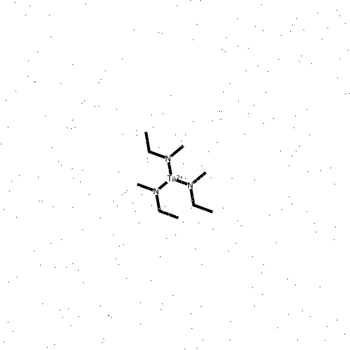 CC[N](C)[Ta+2]([N](C)CC)[N](C)CC